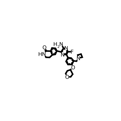 Nc1nc(F)c(-c2ccc(OC3CCOCC3)c(CN3CCC3)c2)nc1-c1ccc2c(c1)CCNC2=O